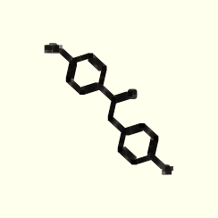 CCCCc1ccc(C(=O)Cc2ccc(Br)cc2)cc1